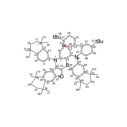 Cc1cc2c3c(c1)N(c1ccc4c(c1)C(C)(C)CCC4(C)C)c1c(oc4cc5c(cc14)C(C)(C)CCC5(C)C)B3c1cc3c(cc1N2c1ccc(C(C)(C)C)cc1-c1ccc(C(C)(C)C)cc1)C(C)(C)CCC3(C)C